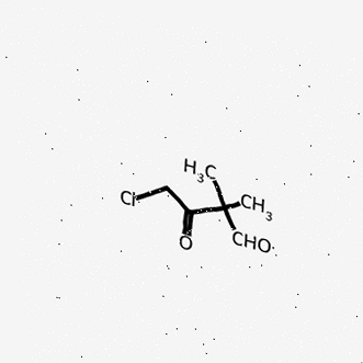 CC(C)([C]=O)C(=O)CCl